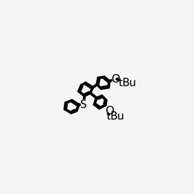 CC(C)(C)Oc1ccc(-c2cccc(Sc3ccccc3)c2-c2ccc(OC(C)(C)C)cc2)cc1